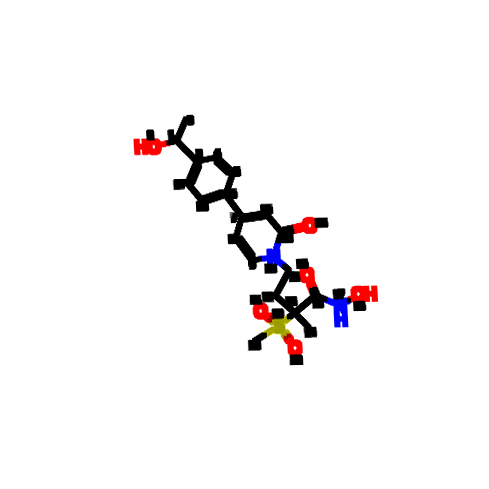 CC(O)c1ccc(-c2ccn(CCC(C)(C(=O)NO)S(C)(=O)=O)c(=O)c2)cc1